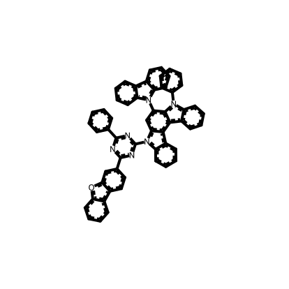 c1ccc(-c2nc(-c3ccc4c(c3)oc3ccccc34)nc(-n3c4ccccc4c4c5c6ccccc6n(-c6ccccc6)c5c(-n5c6ccccc6c6ccccc65)cc43)n2)cc1